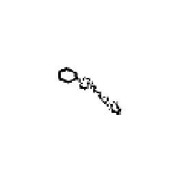 c1cnn(COCCCCN2CCN(C3CCCCC3)CC2)c1